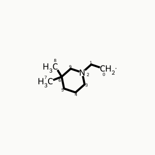 [CH2]CN1CCCC(C)(C)C1